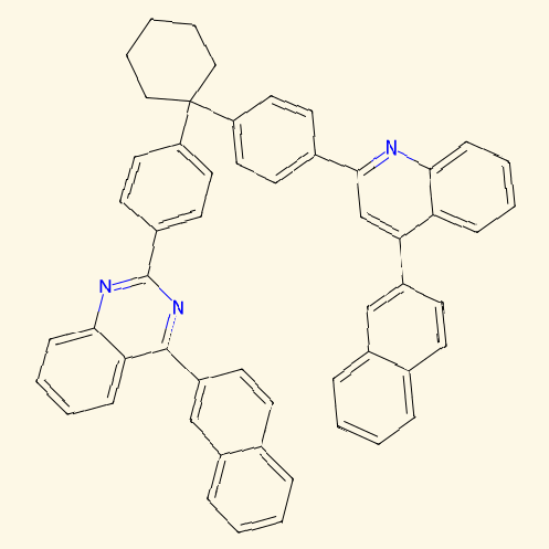 c1ccc2cc(-c3cc(-c4ccc(C5(c6ccc(-c7nc(-c8ccc9ccccc9c8)c8ccccc8n7)cc6)CCCCC5)cc4)nc4ccccc34)ccc2c1